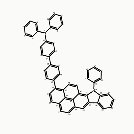 c1ccc(N(c2ccccc2)c2ccc(-c3ccc(-c4ccc5ccc6cc7c8ccccc8n(-c8ccccc8)c7c7ccc4c5c67)cc3)cc2)cc1